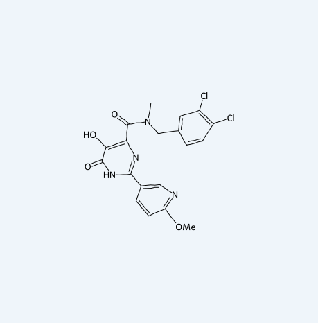 COc1ccc(-c2nc(C(=O)N(C)Cc3ccc(Cl)c(Cl)c3)c(O)c(=O)[nH]2)cn1